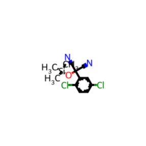 C[Si](C)(C)OC(C#N)(C#N)c1cc(Cl)ccc1Cl